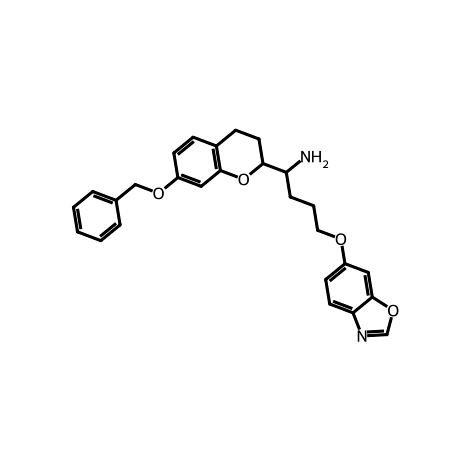 NC(CCCOc1ccc2ncoc2c1)C1CCc2ccc(OCc3ccccc3)cc2O1